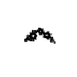 O=c1[nH]c2ccc(Nc3ncc(-c4ccc(OC(F)(F)F)cc4)o3)cc2o1